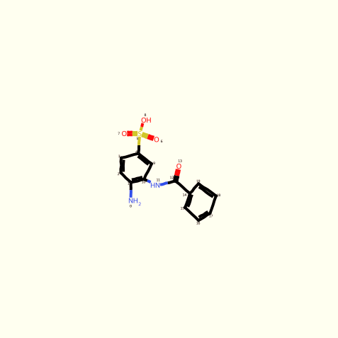 Nc1ccc(S(=O)(=O)O)cc1NC(=O)c1ccccc1